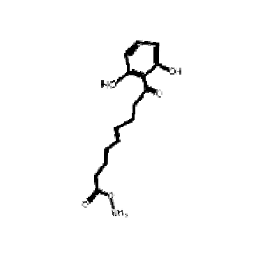 NOC(=O)CCCCCCCC(=O)c1c(O)cccc1O